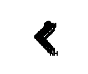 C.C.C.C.C.C.C.C.C.C.C.C.C.C.C.C.C.C.C.C.C.C.C.C.C.C.C.C.C.N=C=O.N=C=O.N=C=O.N=C=O.N=C=O.N=C=O